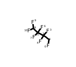 FCC(F)(F)C(F)(F)C(F)F